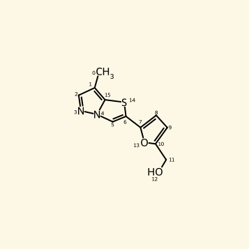 Cc1cnn2cc(-c3ccc(CO)o3)sc12